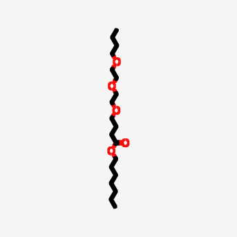 CCCCCCCOC(=O)CCCOCCOCCOCCCC